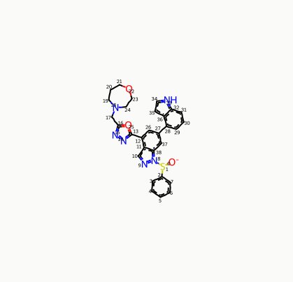 [O-][S+](c1ccccc1)n1ncc2c(-c3nnc(CN4CCCOCC4)o3)cc(-c3cccc4[nH]ccc34)cc21